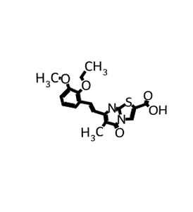 CCOc1c(/C=C/c2nc3sc(C(=O)O)cn3c(=O)c2C)cccc1OC